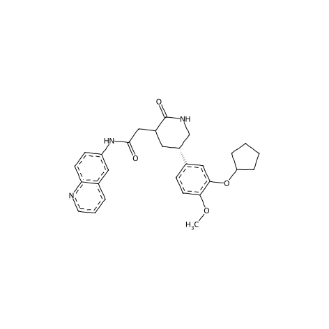 COc1ccc([C@H]2CNC(=O)C(CC(=O)Nc3ccc4ncccc4c3)C2)cc1OC1CCCC1